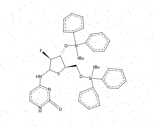 CC(C)(C)[Si](OC[C@H]1SC(Nc2cc[nH]c(=O)n2)[C@@H](F)[C@@H]1O[Si](c1ccccc1)(c1ccccc1)C(C)(C)C)(c1ccccc1)c1ccccc1